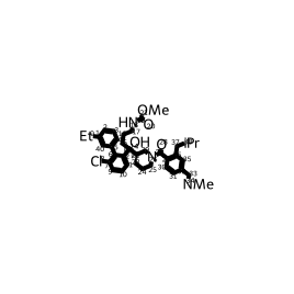 CCc1cccc(-c2c(Cl)cccc2[C@](O)(CCCNC(=O)OC)[C@@H]2CCCN(C(=O)c3ccc(CNC)cc3CC(C)C)C2)c1